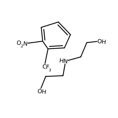 O=[N+]([O-])c1ccccc1C(F)(F)F.OCCNCCO